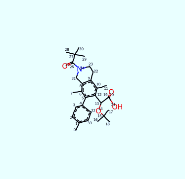 Cc1ccc(-c2c(C)c3c(c(C)c2C(OC(C)(C)C)C(=O)O)CCN(C(=O)C(C)(C)C)C3)cc1